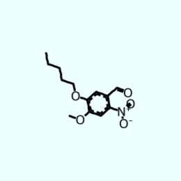 CCCCCOc1cc(C=O)c([N+](=O)[O-])cc1OC